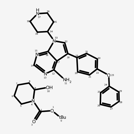 CC(C)(C)OC(=O)N1CCCCC1O.Nc1ncnc2c1c(-c1ccc(Oc3ccccc3)cc1)cn2C1CCNCC1